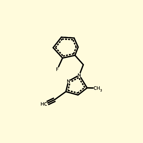 C#Cc1cc(C)n(Cc2ccccc2F)n1